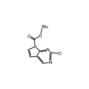 CC(C)(C)OC(=O)n1ccc2cnc(Cl)nc21